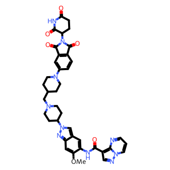 COc1cc2nn(C3CCN(CC4CCN(c5ccc6c(c5)C(=O)N(C5CCC(=O)NC5=O)C6=O)CC4)CC3)cc2cc1NC(=O)c1cnn2cccnc12